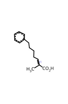 C/C(=C\CCCCc1ccccc1)C(=O)O